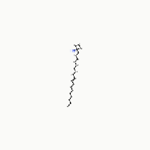 CCCCCCCC/C=C/CCCCCCCCC1([NH])CCC1